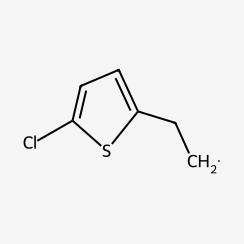 [CH2]Cc1ccc(Cl)s1